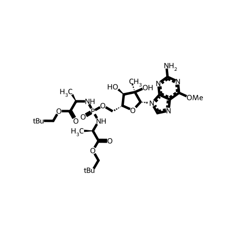 COc1nc(N)nc2c1ncn2[C@@H]1O[C@H](COP(=O)(N[C@H](C)C(=O)OCC(C)(C)C)N[C@H](C)C(=O)OCC(C)(C)C)[C@@H](O)[C@@]1(C)O